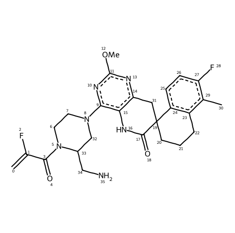 C=C(F)C(=O)N1CCN(c2nc(OC)nc3c2NC(=O)C2(CCCc4c2ccc(F)c4C)C3)CC1CN